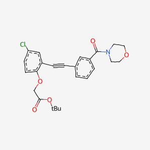 CC(C)(C)OC(=O)COc1ccc(Cl)cc1C#Cc1cccc(C(=O)N2CCOCC2)c1